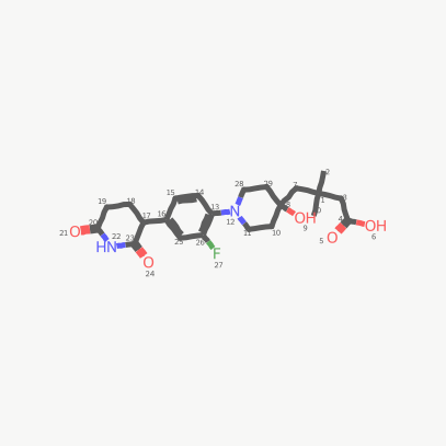 CC(C)(CC(=O)O)CC1(O)CCN(c2ccc(C3CCC(=O)NC3=O)cc2F)CC1